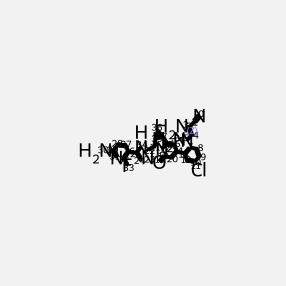 N#C/C(N)=C/N(N)c1ccc(Cl)cc1-c1cc2n(c(=O)c1)C(c1ncc(-c3ccc(N)nc3F)[nH]1)C1CC21